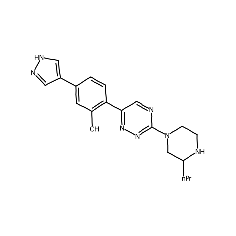 CCCC1CN(c2ncc(-c3ccc(-c4cn[nH]c4)cc3O)nn2)CCN1